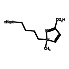 CCCCCCCCCCC[N+]1(C)C=CC(C(=O)O)=N1